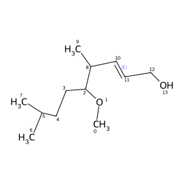 COC(CCC(C)C)C(C)/C=C/CO